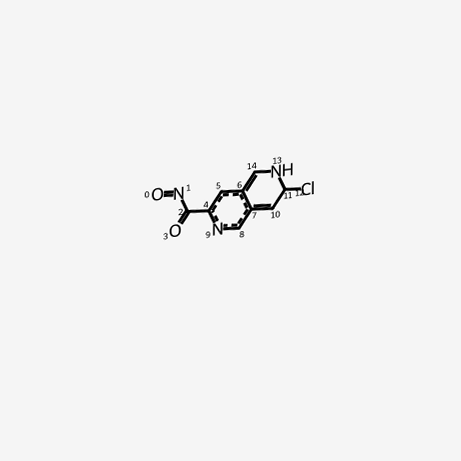 O=NC(=O)c1cc2c(cn1)=CC(Cl)NC=2